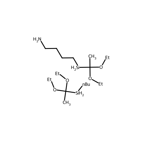 CCCC[SiH2]C(C)(OCC)OCC.CCOC(C)(OCC)[SiH2]CCCCN